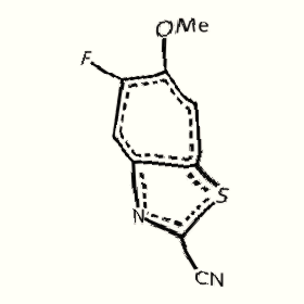 COc1cc2sc(C#N)nc2cc1F